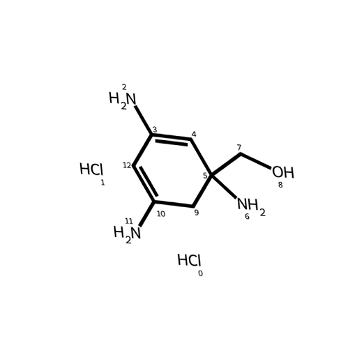 Cl.Cl.NC1=CC(N)(CO)CC(N)=C1